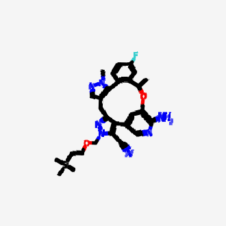 CC1Oc2cc(cnc2N)-c2c(nn(COCC[Si](C)(C)C)c2C#N)Cc2cnn(C)c2-c2ccc(F)cc21